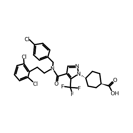 O=C(c1cnn([C@H]2CC[C@H](C(=O)O)CC2)c1C(F)(F)F)N(CCc1c(Cl)cccc1Cl)Cc1ccc(Cl)cc1